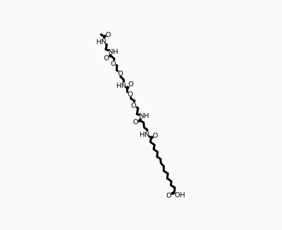 CC(=O)NCCNC(=O)COCCOCCNC(=O)COCCOCCNC(=O)CCCNC(=O)CCCCCCCCCCCCCCC(=O)O